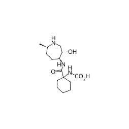 C[C@@H]1CC[C@H](NC(=O)C2(NC(=O)O)CCCCC2)[C@@H](O)CN1